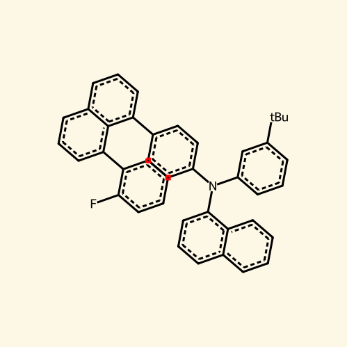 CC(C)(C)c1cccc(N(c2ccc(-c3cccc4cccc(-c5ccccc5F)c34)cc2)c2cccc3ccccc23)c1